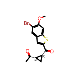 COc1cc2sc(C(=O)[C@@H]3C[C@@H]3C(C)=O)cc2cc1Br